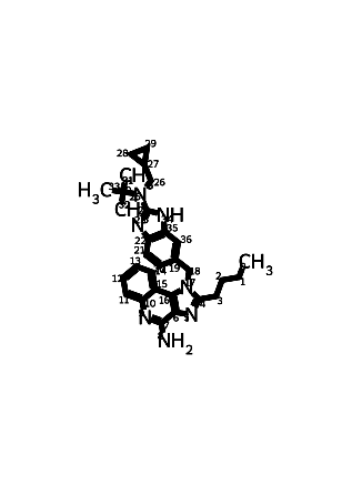 CCCCc1nc2c(N)nc3ccccc3c2n1Cc1ccc2nc(N(CC3CC3)C(C)(C)C)[nH]c2c1